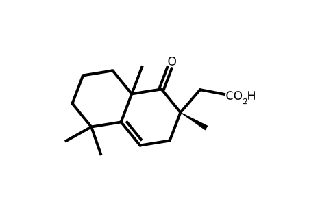 CC1(C)CCCC2(C)C(=O)[C@](C)(CC(=O)O)CC=C12